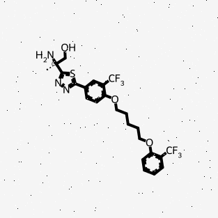 C[C@](N)(CO)c1nnc(-c2ccc(OCCCCCOc3ccccc3C(F)(F)F)c(C(F)(F)F)c2)s1